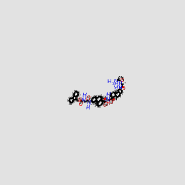 CC(C)[C@H](N)C(=O)N[C@@H](C)C(=O)Nc1ccc2c(c1)[C@@]1(C)CCC[C@](C)(C(=O)NC(=O)[C@@]3(C)CCC[C@]4(C)c5cc(NC(=O)CNC(=O)OCC6c7ccccc7-c7ccccc76)ccc5CC[C@@H]34)[C@@H]1CC2